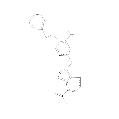 CC(C)c1cc(Cn2ccc3c(C(=O)O)cccc32)ccc1OCc1ccccc1.Cl